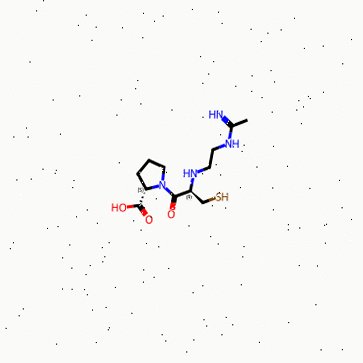 CC(=N)NCCN[C@@H](CS)C(=O)N1CCC[C@H]1C(=O)O